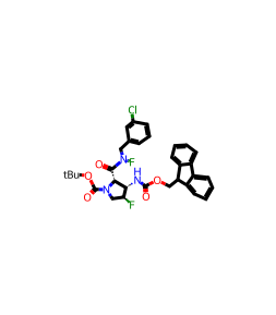 CC(C)(C)OC(=O)N1C[C@H](F)[C@@H](NC(=O)OCC2c3ccccc3-c3ccccc32)[C@H]1C(=O)N(F)Cc1cccc(Cl)c1